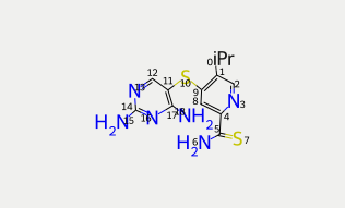 CC(C)c1cnc(C(N)=S)cc1Sc1cnc(N)nc1N